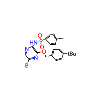 Cc1ccc(S(=O)(=O)Nc2ncc(Br)nc2OCc2ccc(C(C)(C)C)cc2)cc1